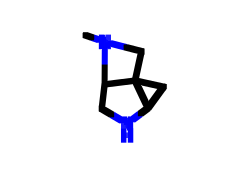 CN1CC23CC2NCC13